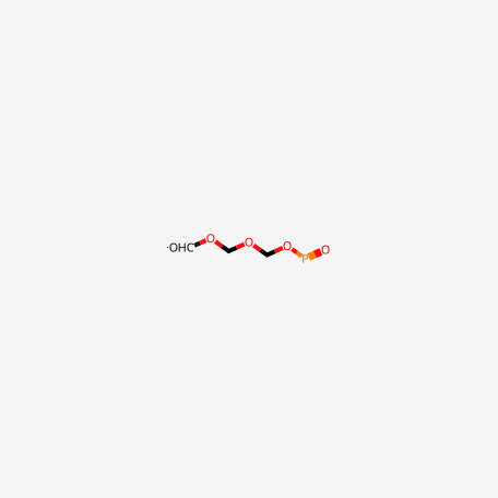 O=[C]OCOCOP=O